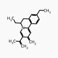 C=C(C)C1=CN2C(=CC1=C)c1ccc(CC)cc1CC2CC